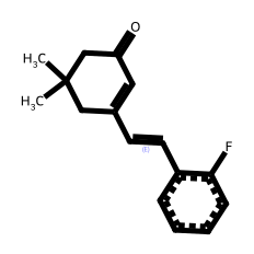 CC1(C)CC(=O)C=C(/C=C/c2ccccc2F)C1